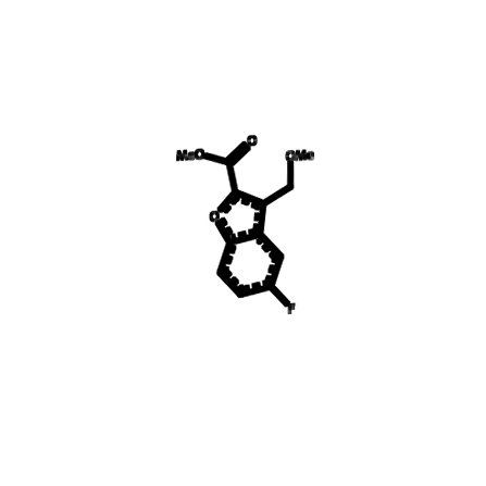 COCc1c(C(=O)OC)oc2ccc(F)cc12